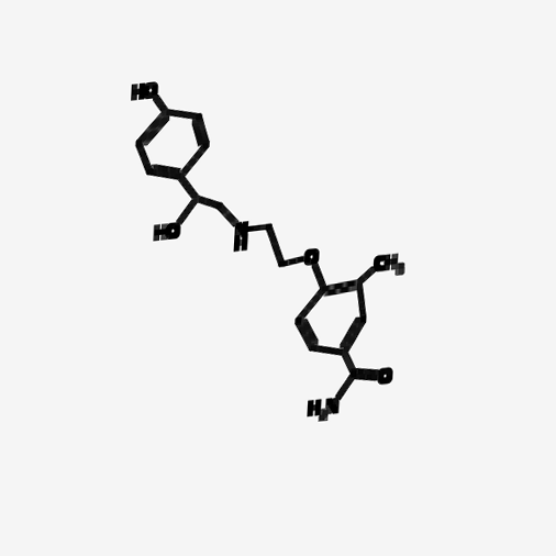 Cc1cc(C(N)=O)ccc1OCCNCC(O)c1ccc(O)cc1